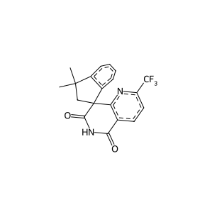 CC1(C)CC2(C(=O)NC(=O)c3ccc(C(F)(F)F)nc32)c2ccccc21